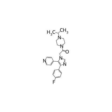 CC(C)N1CCN(C(=O)Cn2cnc(-c3ccc(F)cc3)c2-c2ccncc2)CC1